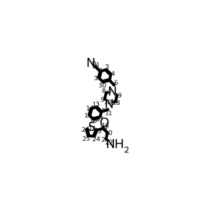 N#Cc1ccc(CN2CCN(Cc3ccccc3OC(CCN)c3cccs3)CC2)cc1